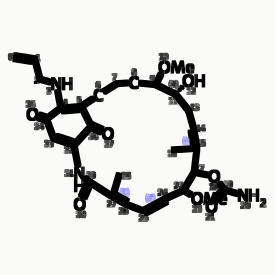 C=CCNC1=C2CCCC(OC)[C@H](O)C/C=C(\C)C(OC(N)=O)C(OC)/C=C\C=C(/C)C(=O)NC(=CC1=O)C2=O